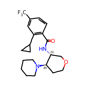 O=C(N[C@@H]1COCC[C@H]1N1CCCCC1)c1ccc(C(F)(F)F)cc1C1CC1